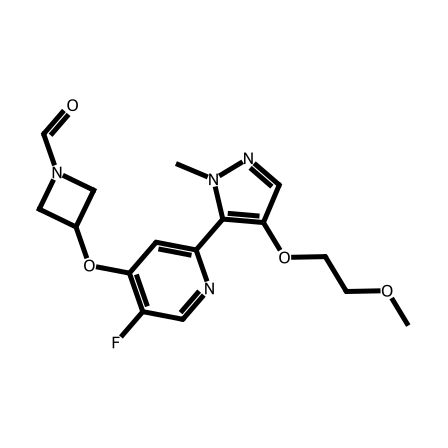 COCCOc1cnn(C)c1-c1cc(OC2CN(C=O)C2)c(F)cn1